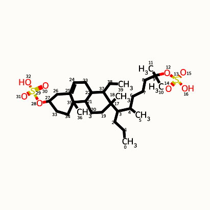 CCCC(C(C)CCCC(C)(C)OS(=O)(=O)O)C1(C)CCC2C(CC=C3CC(OS(=O)(=O)O)CCC32C)C1CC